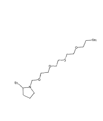 CCC1CCCN1COCCOCCOCCOCCO